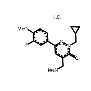 CNCc1cc(-c2ccc(OC)c(F)c2)nn(CC2CC2)c1=O.Cl